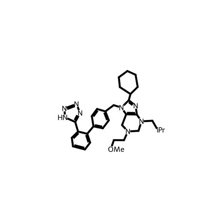 COCCN1Cc2c(nc(C3CCCCC3)n2Cc2ccc(-c3ccccc3-c3nnn[nH]3)cc2)N(CC(C)C)C1